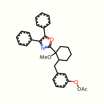 COC1(c2nc(-c3ccccc3)c(-c3ccccc3)o2)CCCCC1Cc1cccc(OOC(C)=O)c1